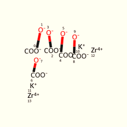 O=C([O-])[O-].O=C([O-])[O-].O=C([O-])[O-].O=C([O-])[O-].O=C([O-])[O-].[K+].[K+].[Zr+4].[Zr+4]